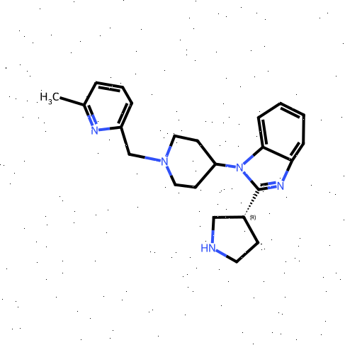 Cc1cccc(CN2CCC(n3c([C@@H]4CCNC4)nc4ccccc43)CC2)n1